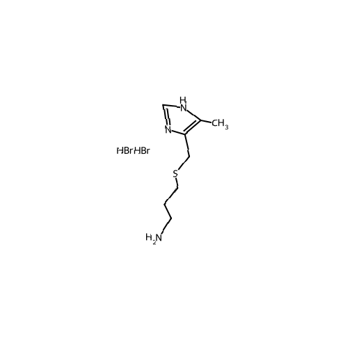 Br.Br.Cc1[nH]cnc1CSCCCN